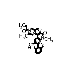 C=CC(=O)N1CC2COc3c(c4cc(Cl)c(-c5c(O)cccc5F)nc4n(C)c3=O)N2CC1C